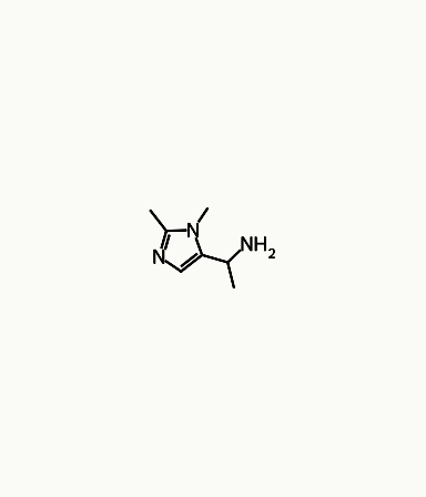 Cc1ncc(C(C)N)n1C